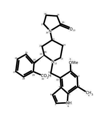 COc1cc(C)c2[nH]ccc2c1CN1CCC(N2CCCC2=O)C[C@@H]1c1ccccc1C(=O)O